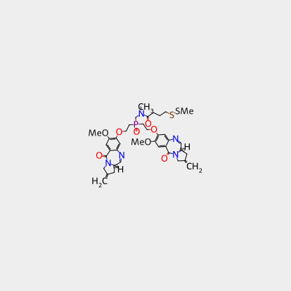 C=C1C[C@H]2C=Nc3cc(OCCP(=O)(CCOc4cc5c(cc4OC)C(=O)N4CC(=C)C[C@@H]4C=N5)CN(C)C(=O)CCCSSC)c(OC)cc3C(=O)N2C1